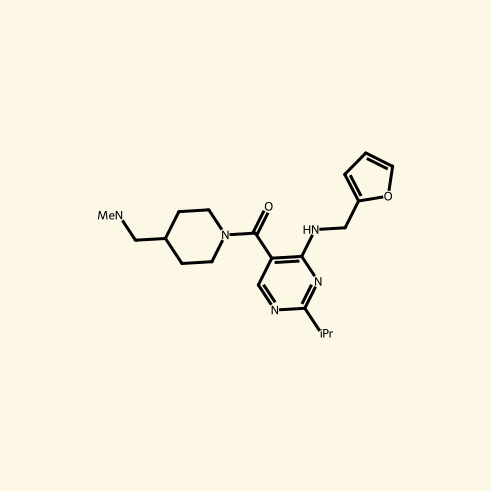 CNCC1CCN(C(=O)c2cnc(C(C)C)nc2NCc2ccco2)CC1